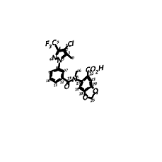 Cc1c(Cl)c(C(F)(F)F)nn1-c1cccc(C(=O)N(C)c2cc3c(cc2C(=O)O)OCO3)c1